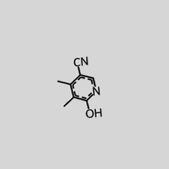 Cc1c(C#N)cnc(O)c1C